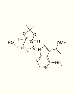 COC(C)c1nn([C@@H]2O[C@H](CO)[C@H]3OC(C)(C)O[C@H]32)c2ncnc(N)c12